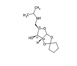 CC(C)NC[C@H]1OC2OC3(CCCC3)O[C@@H]2[C@H]1O